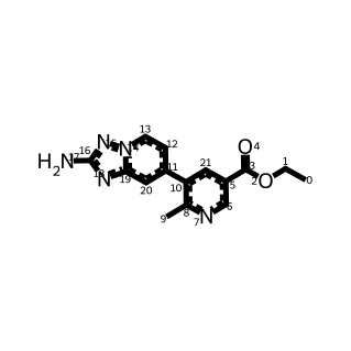 CCOC(=O)c1cnc(C)c(-c2ccn3nc(N)nc3c2)c1